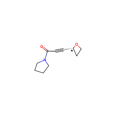 O=C(C#C[C@H]1CCO1)N1CCCC1